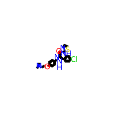 CN(C)CCOc1ccc(-c2nc(C(=O)Nc3nccs3)c(-c3ccc(Cl)cc3)[nH]2)cc1